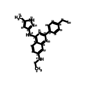 CCNc1ccc2c(Nc3cc(C)[nH]n3)nc(-c3ccc(CI)cc3)nc2c1